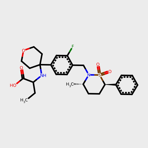 CCC(NC1(c2ccc(CN3[C@@H](C)CC[C@H](c4ccccc4)S3(=O)=O)c(F)c2)CCOCC1)C(=O)O